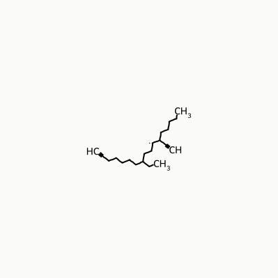 C#CCCCCCC(CC)CC[CH]C(C#C)CCCCC